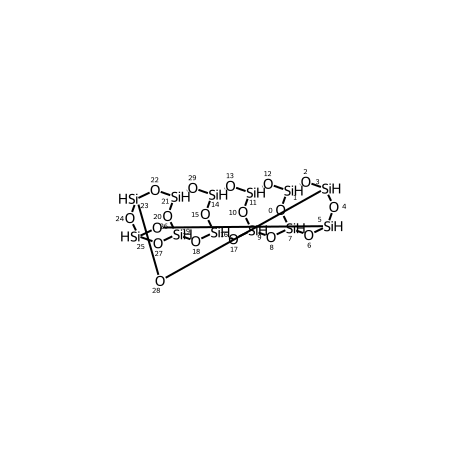 O1[SiH]2O[SiH]3O[SiH]4O[SiH]1O[SiH]1O[SiH](O2)O[SiH]2O[SiH](O1)O[SiH]1O[SiH](O[SiH](O[SiH](O4)O1)O3)O2